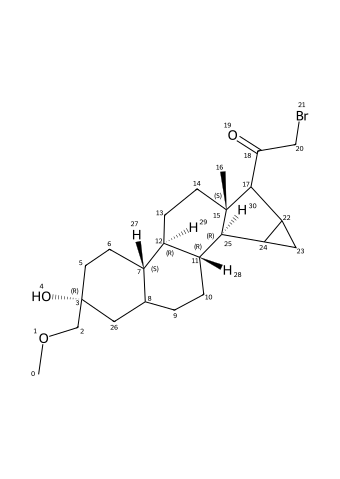 COC[C@@]1(O)CC[C@H]2C(CC[C@@H]3[C@@H]2CC[C@]2(C)C(C(=O)CBr)C4CC4[C@@H]32)C1